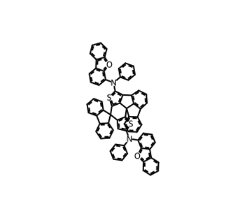 c1ccc(N(c2cc3c(s2)C24c5ccccc5-c5cccc(c52)-c2c(N(c5ccccc5)c5cccc6c5oc5ccccc56)sc(c24)C32c3ccccc3-c3ccccc32)c2cccc3c2oc2ccccc23)cc1